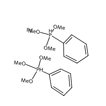 CO[PH](OC)(OC)c1ccccc1.CO[PH](OC)(OC)c1ccccc1.[Pd]